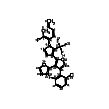 C=C/C=C\C(=C(/C)F)n1ncc(-c2onc(-c3c(F)cccc3Cl)c2-c2nnco2)c1C(F)(F)F